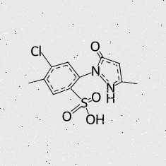 Cc1cc(=O)n(-c2cc(Cl)c(C)cc2S(=O)(=O)O)[nH]1